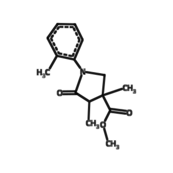 COC(=O)C1(C)CN(c2ccccc2C)C(=O)C1C